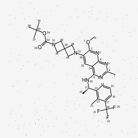 COc1nc2nc(C)nc(N[C@H](C)c3cccc(C(F)(F)F)c3C)c2cc1N1CC2(CN(C(=O)OC(C)(C)C)C2)C1